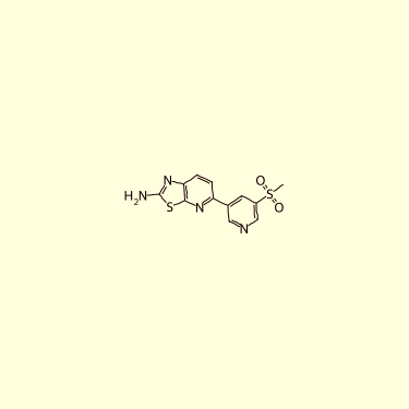 CS(=O)(=O)c1cncc(-c2ccc3nc(N)sc3n2)c1